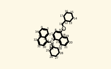 c1ccc2c([SiH](c3ccc(OCC4CCCCC4)c4ccccc34)C3CCCCC3)cccc2c1